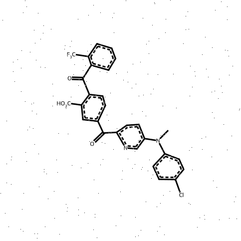 CN(c1ccc(Cl)cc1)c1ccc(C(=O)c2ccc(C(=O)c3ccccc3C(F)(F)F)c(C(=O)O)c2)nc1